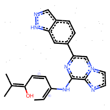 C/C=C(\C=C/C(O)=C(C)C)Nc1nc(-c2ccc3cn[nH]c3c2)cn2ccnc12